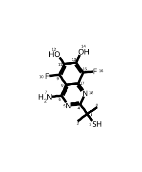 CC(C)(S)c1nc(N)c2c(F)c(O)c(O)c(F)c2n1